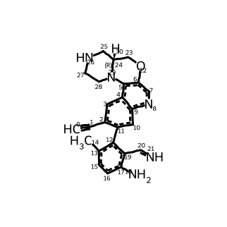 C#Cc1cc2c3c(cnc2cc1-c1c(C)ccc(N)c1C=N)OC[C@H]1CNCCN31